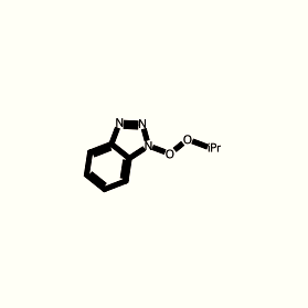 CC(C)OOn1nnc2ccccc21